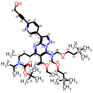 C=C(OCC)c1c(CC[C@@H](C)N(C(=O)OC(C)(C)C)C(C)C)nc2c(-c3ccc(C#CCO)nc3)cnn2c1N(COCC[Si](C)(C)C)COCC[Si](C)(C)C